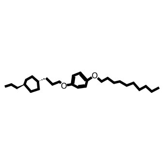 CCCCCCCCCCOc1ccc(OCCC[C@H]2CC[C@H](CCC)CC2)cc1